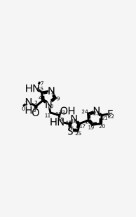 CNC(=O)c1c(NC)ncn1CC(O)Nc1nc(-c2ccc(F)nc2)cs1